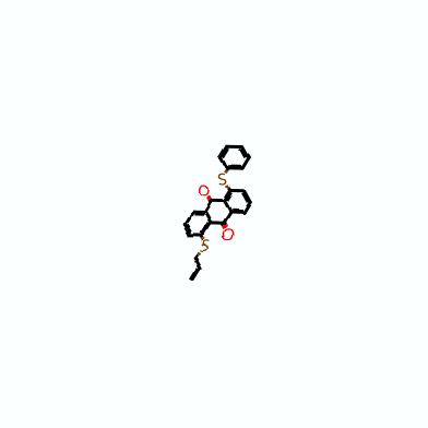 C=CCSc1cccc2c1C(=O)c1cccc(Sc3ccccc3)c1C2=O